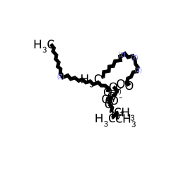 CCCCCCCC/C=C\C/C=C\C/C=C\CCCC(=O)OC[C@H](COP(=O)([O-])OCC[N+](C)(C)C)OC(=O)CCCCCCCCCCC/C=C\CCCCCCCC